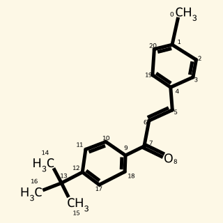 Cc1ccc(C=CC(=O)c2ccc(C(C)(C)C)cc2)cc1